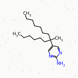 CCCCCCCC(C)(CCCCCC)c1cnc(N)nc1